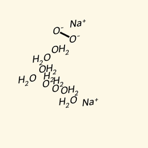 O.O.O.O.O.O.O.O.[Na+].[Na+].[O-][O-]